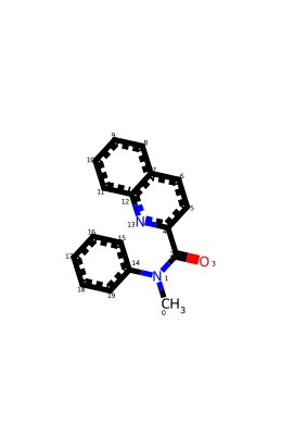 CN(C(=O)c1ccc2ccccc2n1)c1ccccc1